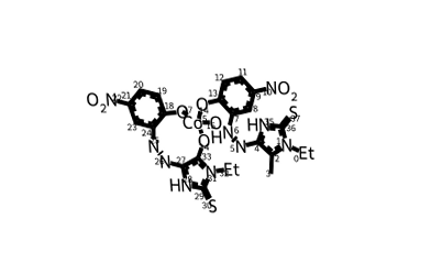 CCn1c(C)c(N=Nc2cc([N+](=O)[O-])ccc2[O][Co]2([OH])[O]c3ccc([N+](=O)[O-])cc3N=Nc3[nH]c(=S)n(CC)c3[O]2)[nH]c1=S